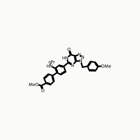 CCCNc1cc(-c2nc3c(nnn3Cc3ccc(OC)cc3)c(=O)[nH]2)ccc1-c1ccc(C(=O)OC)cc1